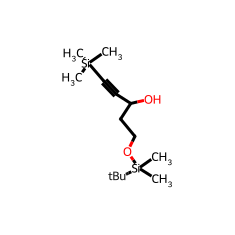 CC(C)(C)[Si](C)(C)OCCC(O)C#C[Si](C)(C)C